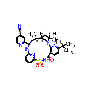 C[C@H]1CC(c2cc(C#N)ccn2)Nc2cccc(n2)S(=O)(=O)NC(=O)c2ccc(C(C)(C)C)nc2N2C[C@@H]1CC2(C)C